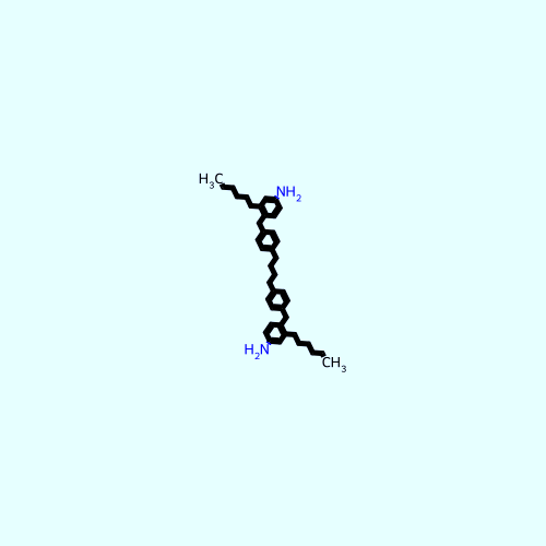 CCCCCCc1cc(N)ccc1Cc1ccc(CCCCc2ccc(Cc3ccc(N)cc3CCCCCC)cc2)cc1